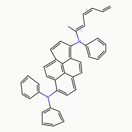 C=C/C=C\C=C(/C)N(c1ccccc1)c1ccc2ccc3c(N(c4ccccc4)c4ccccc4)ccc4ccc1c2c43